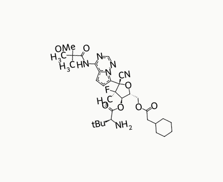 COC(C)(C)C(=O)Nc1ncnn2c([C@]3(C#N)O[C@H](COC(=O)CC4CCCCC4)[C@@H](OC(=O)[C@@H](N)C(C)(C)C)[C@@]3(C)F)ccc12